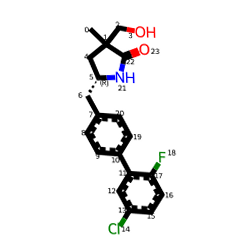 CC1(CO)C[C@@H](Cc2ccc(-c3cc(Cl)ccc3F)cc2)NC1=O